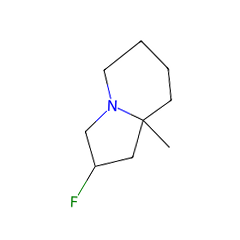 CC12CCCCN1CC(F)C2